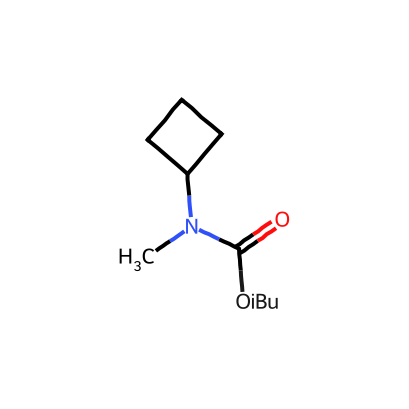 CC(C)COC(=O)N(C)C1CCC1